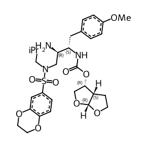 COc1ccc(C[C@H](NC(=O)O[C@H]2CO[C@H]3OCC[C@H]32)[C@H](N)CN(CC(C)C)S(=O)(=O)c2ccc3c(c2)OCCO3)cc1